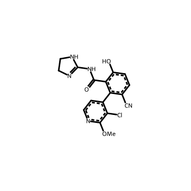 COc1nccc(-c2c(C#N)ccc(O)c2C(=O)NC2=NCCN2)c1Cl